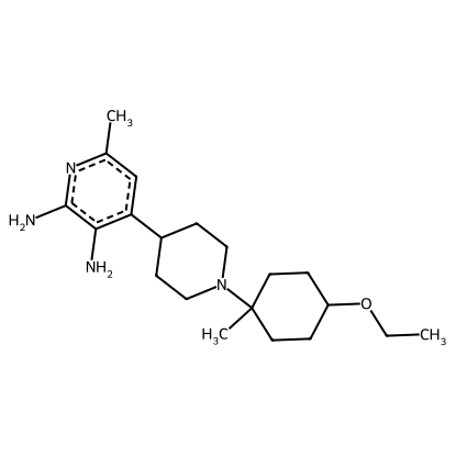 CCOC1CCC(C)(N2CCC(c3cc(C)nc(N)c3N)CC2)CC1